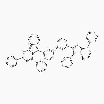 c1ccc(-c2nc(-c3ccccc3)n3c(-c4cccc(-c5cccc(-c6nc7c(-c8ccccc8)ccnc7n6-c6ccccc6)c5)c4)c4ccccc4c3n2)cc1